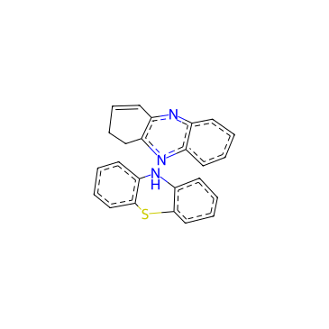 C1=Cc2nc3ccccc3nc2CC1.c1ccc2c(c1)Nc1ccccc1S2